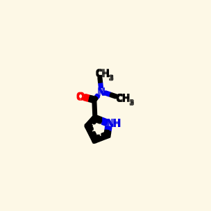 CN(C)C(=O)c1ccc[nH]1